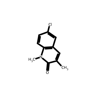 Cc1cc2cc(Cl)ccc2n(C)c1=O